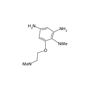 CNCCOc1cc(N)cc(N)c1NC